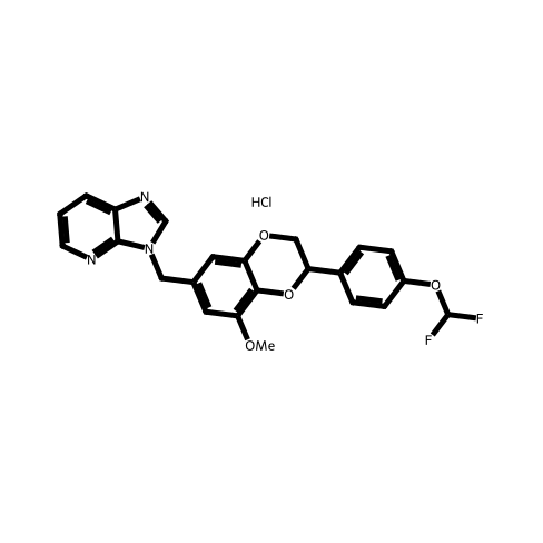 COc1cc(Cn2cnc3cccnc32)cc2c1OC(c1ccc(OC(F)F)cc1)CO2.Cl